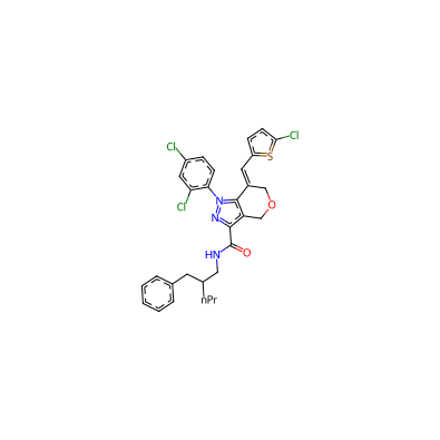 CCCC(CNC(=O)c1nn(-c2ccc(Cl)cc2Cl)c2c1COC/C2=C\c1ccc(Cl)s1)Cc1ccccc1